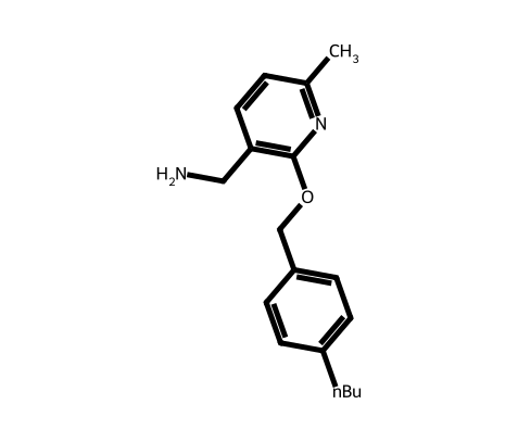 CCCCc1ccc(COc2nc(C)ccc2CN)cc1